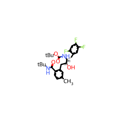 Cc1ccc(C(=O)NC(C)(C)C)c(C[C@@H](O)[C@@H](Cc2cc(F)c(F)cc2F)NC(=O)OC(C)(C)C)c1